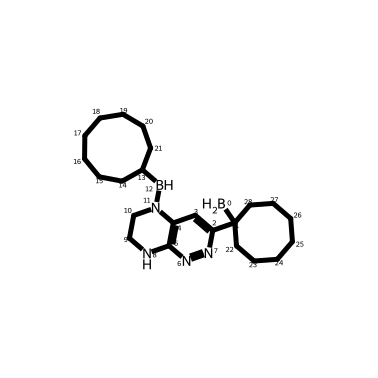 BC1(c2cc3c(nn2)NCCN3BC2CCCCCCCC2)CCCCCCC1